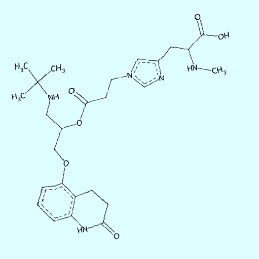 CNC(Cc1cn(CCC(=O)OC(CNC(C)(C)C)COc2cccc3c2CCC(=O)N3)cn1)C(=O)O